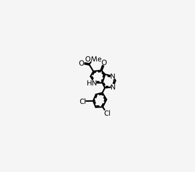 COC(=O)c1c[nH]c2c(-c3cc(Cl)cc(Cl)c3)ncnc2c1=O